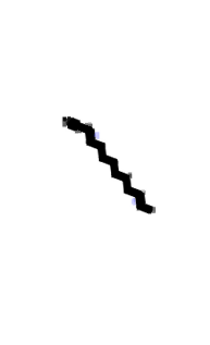 C/C=C/CCCCCC/C=C/C#N